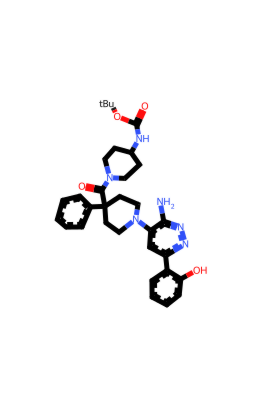 CC(C)(C)OC(=O)NC1CCN(C(=O)C2(c3ccccc3)CCN(c3cc(-c4ccccc4O)nnc3N)CC2)CC1